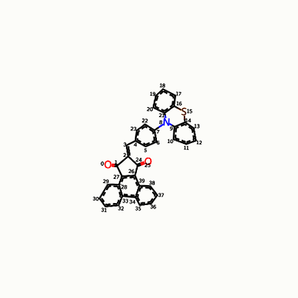 O=C1C(=Cc2ccc(N3c4ccccc4Sc4ccccc43)cc2)C(=O)c2c1c1ccccc1c1ccccc21